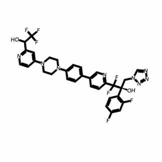 OC(c1cc(N2CCN(c3ccc(-c4ccc(C(F)(F)[C@](O)(Cn5cnnn5)c5ccc(F)cc5F)nc4)cc3)CC2)ccn1)C(F)(F)F